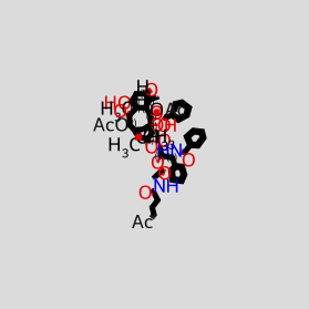 CC(=O)CCCC(=O)NCC(=O)O[C@@H](C(=O)O[C@H]1C[C@@]2(O)[C@@H](OC(=O)c3ccccc3)[C@@H]3[C@]4(OC(C)=O)CO[C@@H]4C[C@H](O)[C@@]3(C)C(=O)[C@H](OC(C)=O)C(=C1C)C2(C)C)[C@@H](NC(=O)c1ccccc1)c1ccccc1